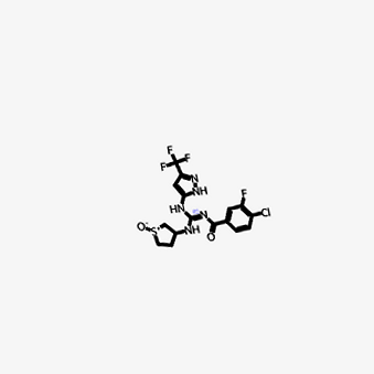 O=C(/N=C(/Nc1cc(C(F)(F)F)n[nH]1)NC1CC[S+]([O-])C1)c1ccc(Cl)c(F)c1